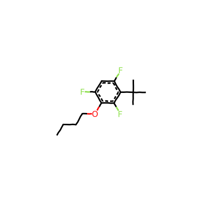 CCCCOc1c(F)cc(F)c(C(C)(C)C)c1F